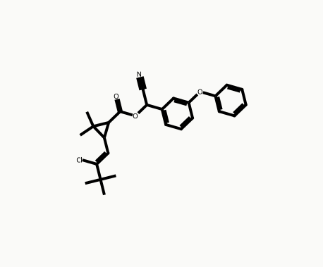 CC(C)(C)C(Cl)=CC1C(C(=O)OC(C#N)c2cccc(Oc3ccccc3)c2)C1(C)C